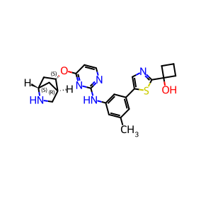 Cc1cc(Nc2nccc(O[C@H]3C[C@@H]4C[C@@H]3CN4)n2)cc(-c2cnc(C3(O)CCC3)s2)c1